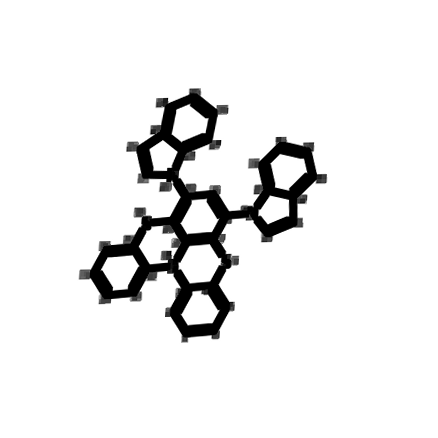 c1ccc2c(c1)Sc1c(-n3ccc4ccccc43)cc(-n3ccc4ccccc43)c3c1B2c1ccccc1S3